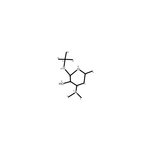 CC1CC(N(C)C)C(O)C(OC(C)(C)C)O1